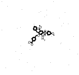 COC(=O)c1ccc(COc2c(N)c(S(=O)(=O)c3ccc(OC)cc3)cc(C(=O)OC)c2Cc2ccccc2)cc1